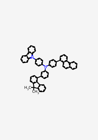 CC1(C)c2ccccc2-c2c(-c3cccc(N(c4ccc(-c5cccc6c5ccc5ccccc56)cc4)c4ccc(-n5c6ccccc6c6ccccc65)cc4)c3)cccc21